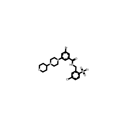 CCS(=O)(=O)c1ccc(Cl)cc1CNC(=O)c1cc(Br)cc(N2CCN(C3CCOCC3)CC2)c1